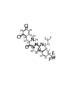 CC(C)CC(N)c1cc(C(F)(F)F)ccc1N1CCN(C(=O)C(Cc2ccc(Cl)cc2Cl)N(C)C)CC1